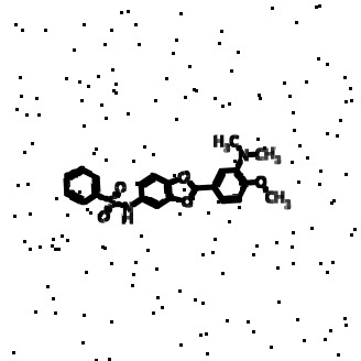 COc1ccc(C2Oc3ccc(NS(=O)(=O)c4ccccc4)cc3O2)cc1N(C)C